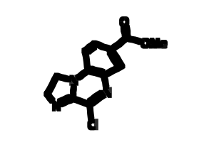 COC(=O)c1ccc2c(c1)N=C(Cl)C1=NCCN12